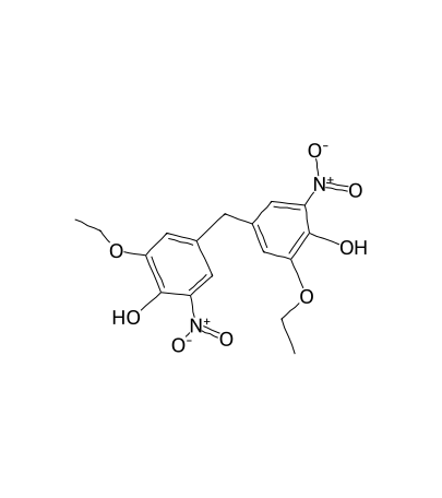 CCOc1cc(Cc2cc(OCC)c(O)c([N+](=O)[O-])c2)cc([N+](=O)[O-])c1O